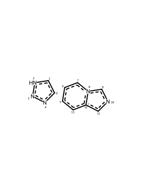 c1c[nH]nn1.c1ccn2cncc2c1